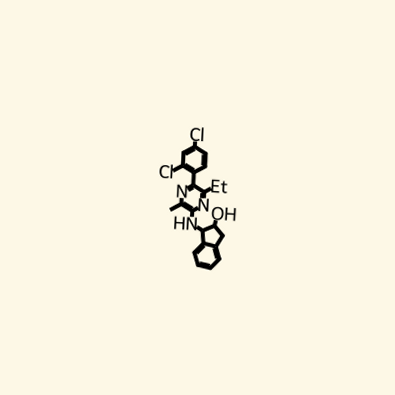 CCc1nc(NC2c3ccccc3CC2O)c(C)nc1-c1ccc(Cl)cc1Cl